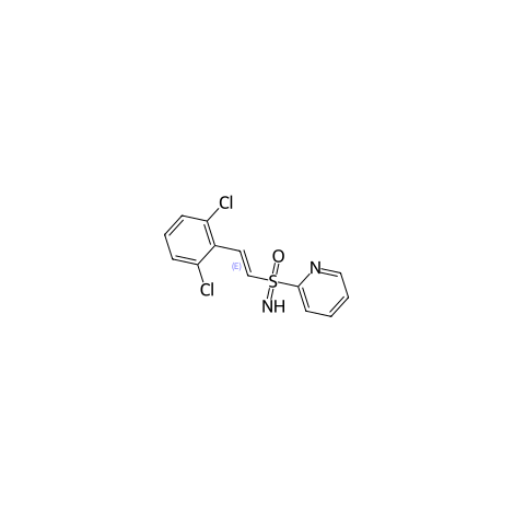 N=S(=O)(/C=C/c1c(Cl)cccc1Cl)c1ccccn1